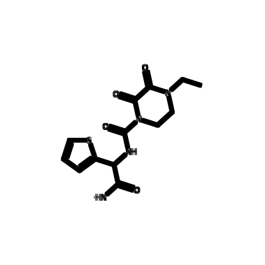 CCN1CCN(C(=O)NC(C([NH])=O)c2cccs2)C(=O)C1=O